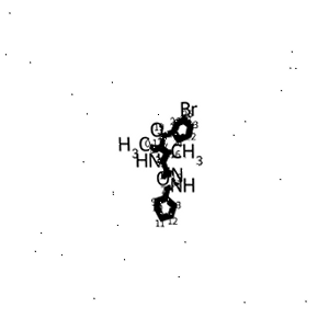 Cc1[nH]c(C2=NNC(c3ccccc3)O2)c(C)c1C(=O)c1cccc(Br)c1